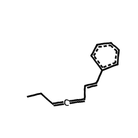 CCC=C=CC=Cc1ccccc1